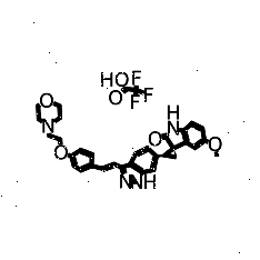 COc1ccc2c(c1)[C@]1(C[C@H]1c1ccc3c(C=Cc4ccc(OCCN5CCOCC5)cc4)n[nH]c3c1)C(=O)N2.O=C(O)C(F)(F)F